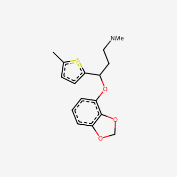 CNCCC(Oc1cccc2c1OCO2)c1ccc(C)s1